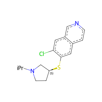 CC(C)N1CC[C@H](Sc2cc3ccncc3cc2Cl)C1